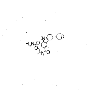 CC(COC(N)=O)N(C)C(=O)c1ccc2c(c1)c1c(n2C)CCC(C2CCOCC2)C1